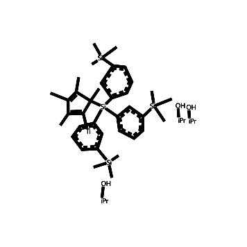 CC(C)O.CC(C)O.CC(C)O.CC1=C(C)C(C)([Si](c2cccc([Si](C)(C)C)c2)(c2cccc([Si](C)(C)C)c2)c2cccc([Si](C)(C)C)c2)[C]([Ti])=C1C